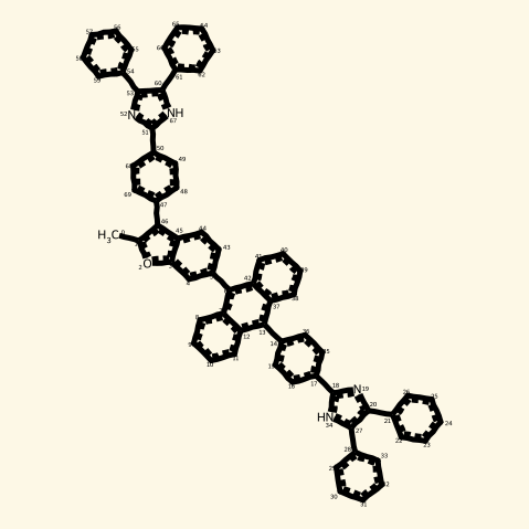 Cc1oc2cc(-c3c4ccccc4c(-c4ccc(-c5nc(-c6ccccc6)c(-c6ccccc6)[nH]5)cc4)c4ccccc34)ccc2c1-c1ccc(-c2nc(-c3ccccc3)c(-c3ccccc3)[nH]2)cc1